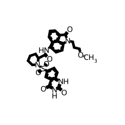 COCCCN1C(=O)c2cccc3c(NC(=O)C4CCCCN4S(=O)(=O)c4ccc5[nH]c(=O)[nH]c(=O)c5c4)ccc1c23